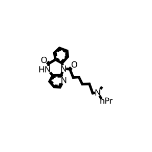 CCCN(C)CCCCCC(=O)N1c2ccccc2C(=O)Nc2cccnc21